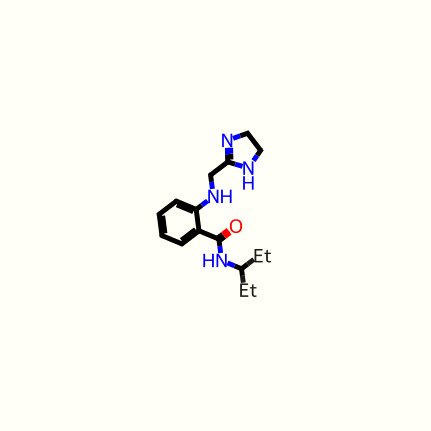 CCC(CC)NC(=O)c1ccccc1NCC1=NCCN1